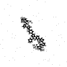 COC(=O)N[C@H](C(=O)n1cccc1-c1ncc(-c2ccc(-c3cc4n(n3)[C@H](c3ccccc3)Oc3cc(-c5cnc(-c6cccn6C(=O)[C@@H](NC(=O)O)C(C)C)[nH]5)ccc3-4)cc2)[nH]1)C(C)C